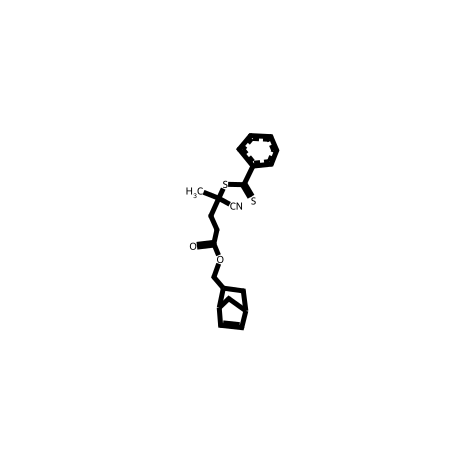 CC(C#N)(CCC(=O)OCC1CC2C=CC1C2)SC(=S)c1ccccc1